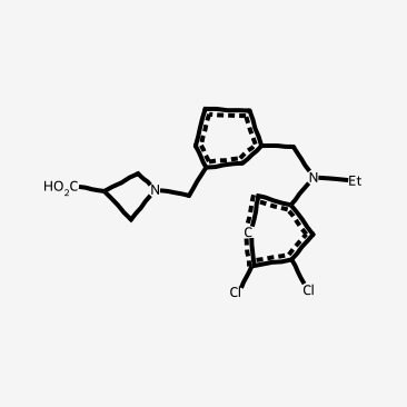 CCN(Cc1cccc(CN2CC(C(=O)O)C2)c1)c1ccc(Cl)c(Cl)c1